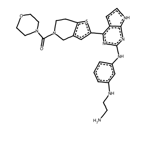 NCCNc1cccc(Nc2nc(-c3cc4c(s3)CCN(C(=O)N3CCOCC3)C4)c3cc[nH]c3n2)c1